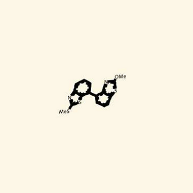 COc1nc2c(-c3cccc4nc(SC)sc34)cccc2s1